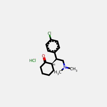 CN(C)CC(c1ccc(Cl)cc1)[C@H]1CCCCC1=O.Cl